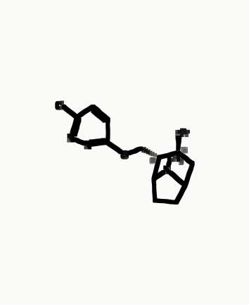 CCC[C@H]1CC2CCC([C@@H]1COc1ccc(Cl)nn1)N2C